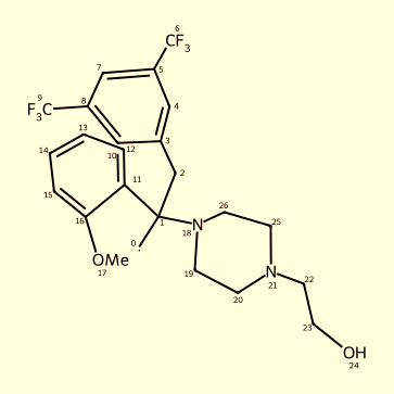 [CH2]C(Cc1cc(C(F)(F)F)cc(C(F)(F)F)c1)(c1ccccc1OC)N1CCN(CCO)CC1